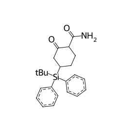 CC(C)(C)[Si](c1ccccc1)(c1ccccc1)C1CCC(C(N)=O)C(=O)C1